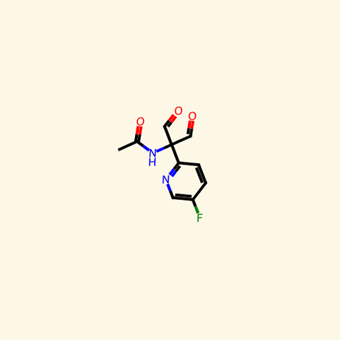 CC(=O)NC(C=O)(C=O)c1ccc(F)cn1